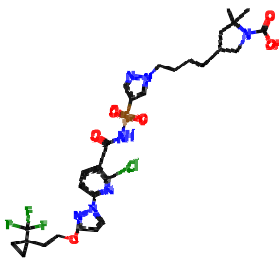 CC1(C)CC(CCCCn2cc(S(=O)(=O)NC(=O)c3ccc(-n4ccc(OCCC5(C(F)(F)F)CC5)n4)nc3Cl)cn2)CN1C(=O)O